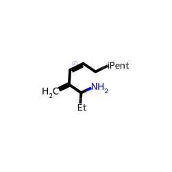 C=C(/C=C\CC(C)CCC)C(N)CC